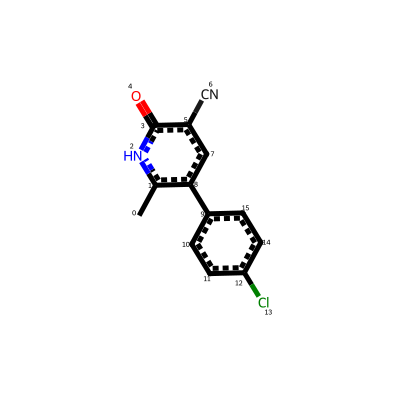 Cc1[nH]c(=O)c(C#N)cc1-c1ccc(Cl)cc1